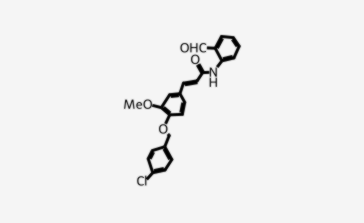 COc1cc(/C=C/C(=O)Nc2ccccc2C=O)ccc1OCc1ccc(Cl)cc1